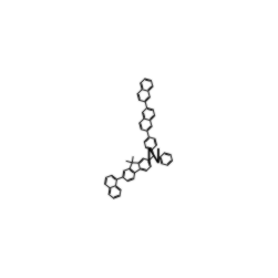 CC1(C)c2cc(-c3cccc4ccccc34)ccc2-c2ccc(N(c3ccccc3)c3ccc(-c4ccc5cc(-c6ccc7ccccc7c6)ccc5c4)cc3)cc21